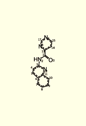 O=C(Nc1ccc2ccccc2n1)c1ccncn1